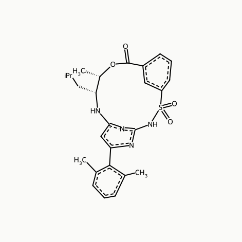 Cc1cccc(C)c1-c1cc2nc(n1)NS(=O)(=O)c1cccc(c1)C(=O)O[C@@H](C)[C@@H](CC(C)C)N2